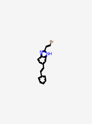 BrC=Cc1nc2ccc(C=Cc3ccccc3)cc2[nH]1